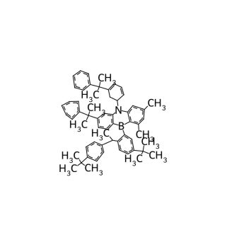 Cc1cc(C)c2c(c1)N(C1C=CC=C(C(C)(C)c3ccccc3)C1)c1cc(C(C)(C)c3ccccc3)ccc1B2c1cc(C(C)(C)C)ccc1C(C)c1ccc(C(C)(C)C)cc1